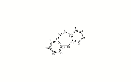 [c]1cccc2c1C=Cc1ccccc1C2